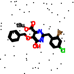 CC(C)(C)OC(=O)c1nc(Cc2ccc(Cl)cc2Br)nc(O)c1OCc1ccccc1